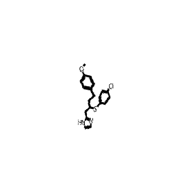 COc1ccc(CCC(Cc2ncc[nH]2)Sc2ccc(Cl)cc2)cc1